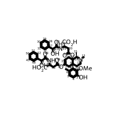 COc1c(O)ccc(C)c1[C@]12CCN(C)[C@H](C)[C@]1(OC(=O)C[C@H](NC(=O)[C@@H](O)c1ccccc1)C(=O)O)CC=C(OC(=O)C[C@H](NC(=O)[C@@H](O)c1ccccc1)C(=O)O)C2